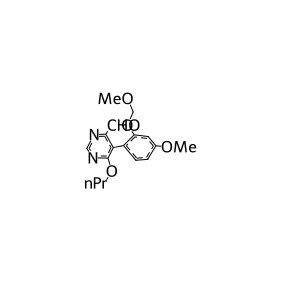 CCCOc1ncnc(C=O)c1-c1ccc(OC)cc1OCOC